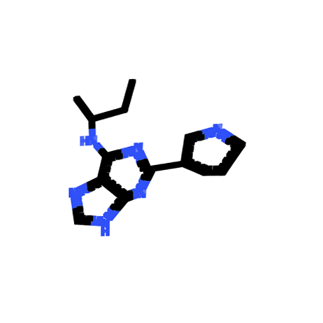 CCC(C)Nc1nc(-c2cccnc2)nc2[nH]cnc12